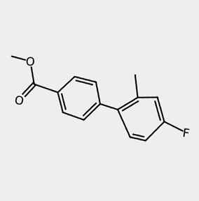 COC(=O)c1ccc(-c2ccc(F)cc2C)cc1